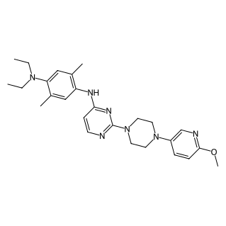 CCN(CC)c1cc(C)c(Nc2ccnc(N3CCN(c4ccc(OC)nc4)CC3)n2)cc1C